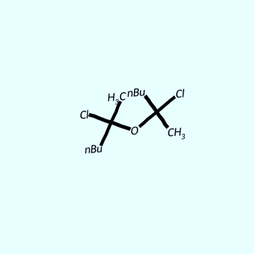 CCCCC(C)(Cl)OC(C)(Cl)CCCC